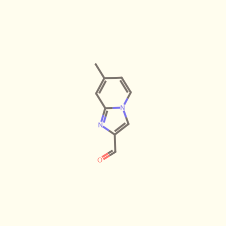 Cc1ccn2cc(C=O)nc2c1